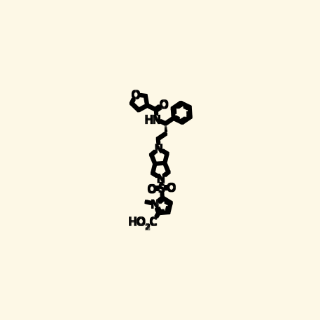 Cn1c(C(=O)O)ccc1S(=O)(=O)N1CC2CN(CC[C@H](NC(=O)C3CCOC3)c3ccccc3)CC2C1